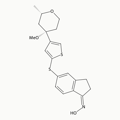 CO[C@@]1(c2csc(Sc3ccc4c(c3)CC/C4=N/O)c2)CCO[C@@H](C)C1